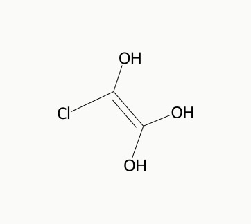 OC(O)=C(O)Cl